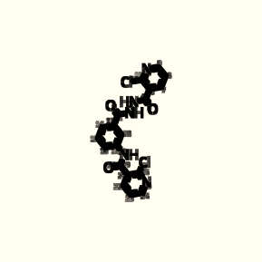 O=C(NNC(=O)c1cccnc1Cl)c1cccc(NC(=O)c2cccnc2Cl)c1